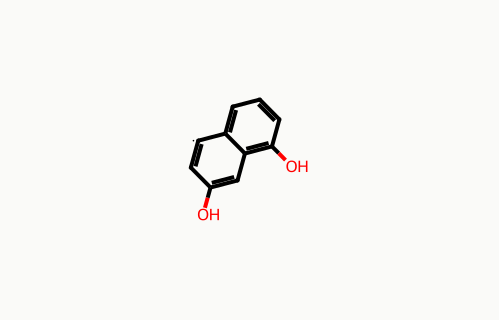 Oc1c[c]c2cccc(O)c2c1